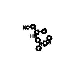 N#Cc1cccc(-c2cc(Nc3ccc(N(c4ccccc4)c4ccc5sc6ccccc6c5c4)cc3)cc(-c3ccccc3)c2)c1